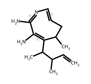 C=CC(C)C(C)/C1=C(N)/C(N)=N\C=C\CC1C